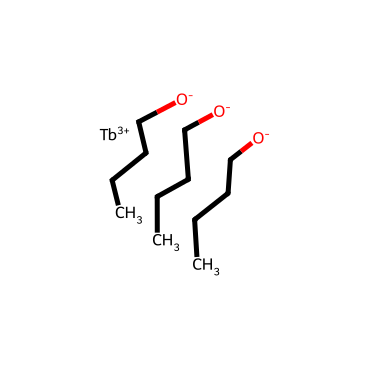 CCCC[O-].CCCC[O-].CCCC[O-].[Tb+3]